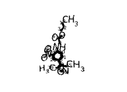 CCCCOC(=O)CNc1ccc(-c2c(C)noc2C)cc1[N+](=O)[O-]